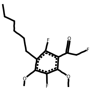 CCCCCCc1c(F)c(C(=O)CF)c(OC)c(F)c1OC